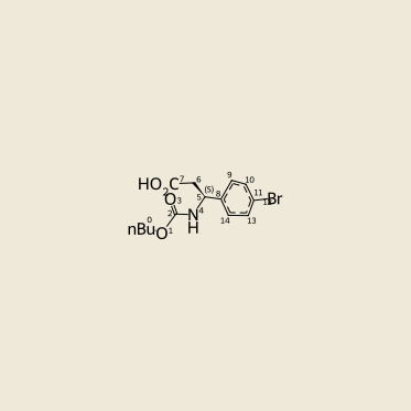 CCCCOC(=O)N[C@@H](CC(=O)O)c1ccc(Br)cc1